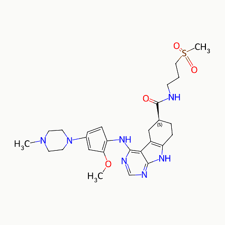 COc1cc(N2CCN(C)CC2)ccc1Nc1ncnc2[nH]c3c(c12)C[C@@H](C(=O)NCCCS(C)(=O)=O)CC3